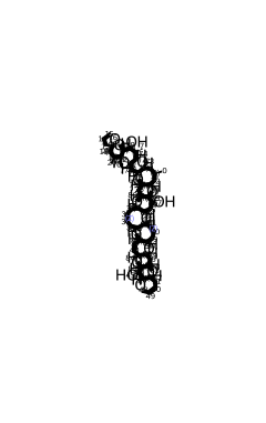 C[C@@H]1C[C@@H]2O[C@@H]3[C@@H](C)[C@H](O)[C@@H]4O[C@]5(CCCO5)[C@@H](C)[C@H](C)[C@H]4O[C@H]3C[C@H]2O[C@H]2C[C@H]3O[C@H]4C/C=C\C[C@H]5O[C@H]6C=C[C@H]7O[C@H]8[C@H](O)[C@H]9OCC=CC[C@@H]9O[C@@H]8C[C@@H]7O[C@@H]6C/C=C\[C@@H]5O[C@@H]4C[C@@H](O)[C@]3(C)O[C@@H]2C1